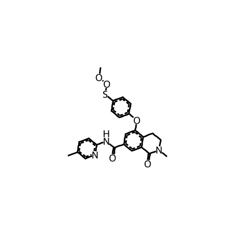 COOSc1ccc(Oc2cc(C(=O)Nc3ccc(C)cn3)cc3c2CCN(C)C3=O)cc1